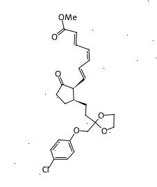 COC(=O)C=C/C=C\C=C[C@@H]1C(=O)CC[C@@H]1CCC1(COc2ccc(Cl)cc2)OCCO1